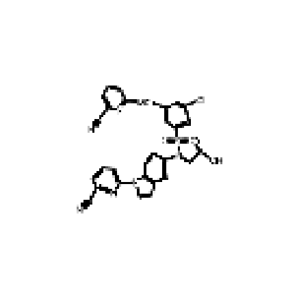 N#Cc1cccc(-n2ccc3cc(N(CC(=O)O)S(=O)(=O)c4cc(Cl)cc(Cl)c4)ccc32)n1.N#Cc1cccc(Br)n1